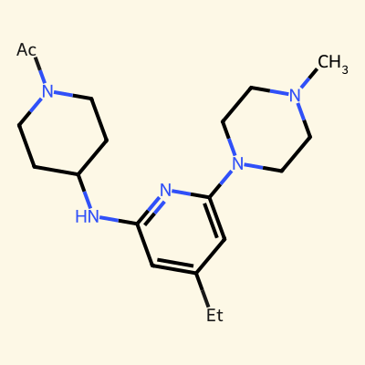 CCc1cc(NC2CCN(C(C)=O)CC2)nc(N2CCN(C)CC2)c1